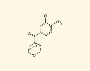 Cc1ccc(C(=O)N2CC3CCCC2CO3)cc1Cl